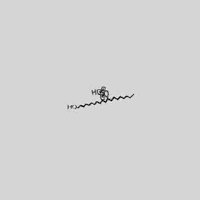 CCCCCCCCC(CCCCCCCCC=CCO)OS(=O)(=O)O